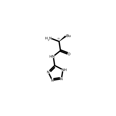 CCC(C)[C@H](N)C(=O)Nc1nnn[nH]1